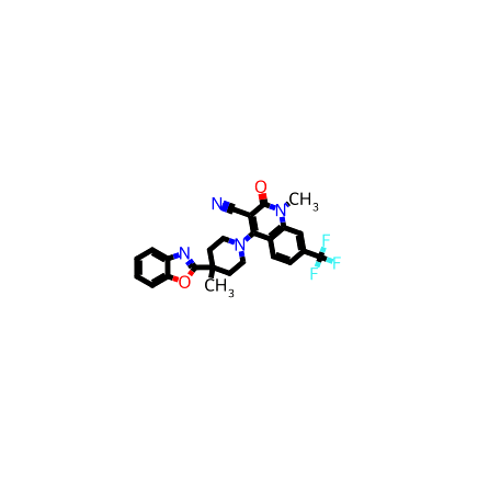 Cn1c(=O)c(C#N)c(N2CCC(C)(c3nc4ccccc4o3)CC2)c2ccc(C(F)(F)F)cc21